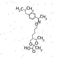 CC(=NOCCCCC1COC(C)(C(=O)O)OC1C)c1ccc(CC(C)C)cc1